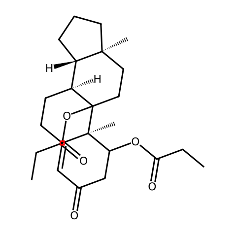 CCC(=O)OC1CC(=O)C=C2CC[C@H]3[C@@H]4CCC[C@@]4(C)CCC3(OC(=O)CC)[C@]21C